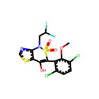 COc1c(Cl)ccc(Cl)c1C1=C(O)c2scnc2N(CC(F)F)S1(=O)=O